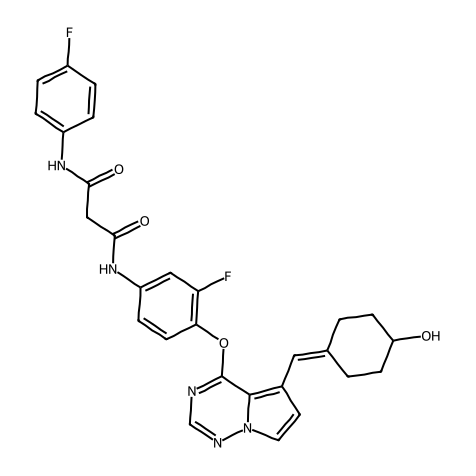 O=C(CC(=O)Nc1ccc(Oc2ncnn3ccc(C=C4CCC(O)CC4)c23)c(F)c1)Nc1ccc(F)cc1